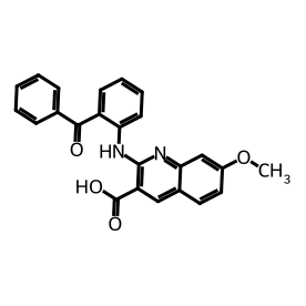 COc1ccc2cc(C(=O)O)c(Nc3ccccc3C(=O)c3ccccc3)nc2c1